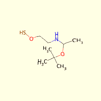 CC(NCCOS)OC(C)(C)C